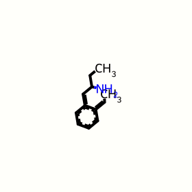 C/C=c1/cccc/c1=C/C(N)CC